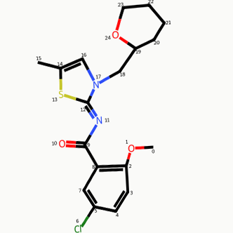 COc1ccc(Cl)cc1C(=O)/N=c1\sc(C)cn1CC1CCCCO1